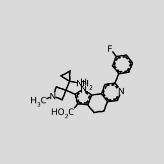 CN1CC(c2[nH]c3c(c2C(=O)O)CCc2cnc(-c4cccc(F)c4)cc2-3)(C2(N)CC2)C1